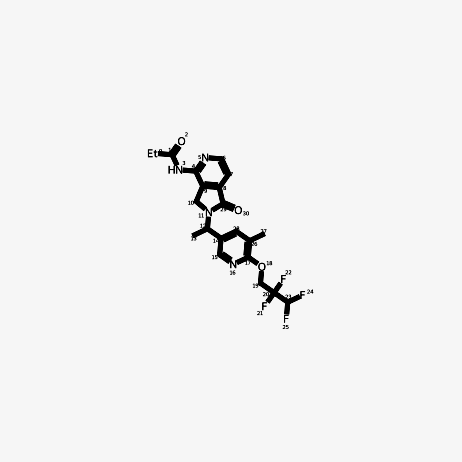 CCC(=O)Nc1nccc2c1CN(C(C)c1cnc(OCC(F)(F)C(F)F)c(C)c1)C2=O